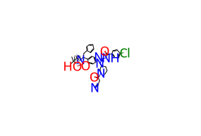 C[C@H](N(C(=O)O)C(Cc1ccccc1)c1ccc2c(c1)nc(NC(=O)c1ccc(Cl)cc1)n2C1CCCN(C(=O)CC#N)C1)C(C)(C)C